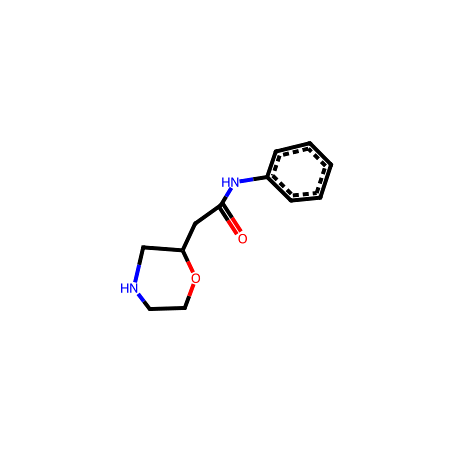 O=C(CC1CNCCO1)Nc1ccccc1